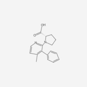 Cc1ccnc(N2CCC[C@H]2C(=O)O)c1-c1ccccc1